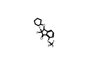 O=C1c2c(SC(F)(F)F)cccc2C(OC2CCCCC2)C1(F)F